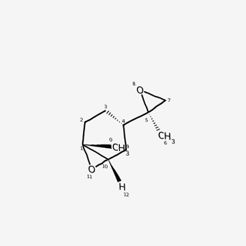 C[C@@]12CC[C@H]([C@]3(C)CO3)C[C@@H]1O2